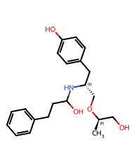 C[C@H](CO)OC[C@@H](Cc1ccc(O)cc1)NC(O)CCc1ccccc1